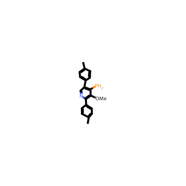 COc1c(-c2ccc(C)cc2)ncc(-c2ccc(C)cc2)c1P